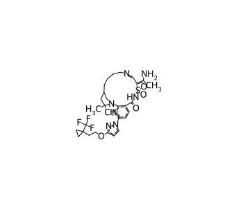 C/C(N)=C1/C=N\CCCCC2CN(c3nc(-n4ccc(OCCC5(C(F)(F)F)CC5)n4)ccc3C(=O)NS1(=O)=O)C(C)(C)C2